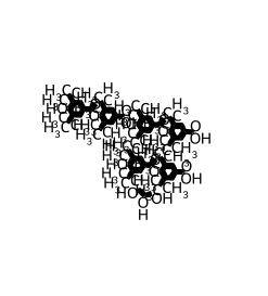 CC(C)(C)c1cc(C(=O)Oc2c(C(C)(C)C)cc(C(=O)O)cc2C(C)(C)C)cc(C(C)(C)C)c1O.CC(C)(C)c1cc(C(=O)Oc2c(C(C)(C)C)cc(C(=O)O)cc2C(C)(C)C)cc(C(C)(C)C)c1O.CC(C)(C)c1cc(C(=O)Oc2c(C(C)(C)C)cc(C(=O)O)cc2C(C)(C)C)cc(C(C)(C)C)c1O.OCC(O)CO